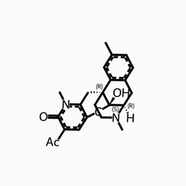 CC(=O)c1cc2c(n(C)c1=O)C[C@]13CCN(C)[C@H](Cc4ccc(C)cc41)[C@]3(O)C2